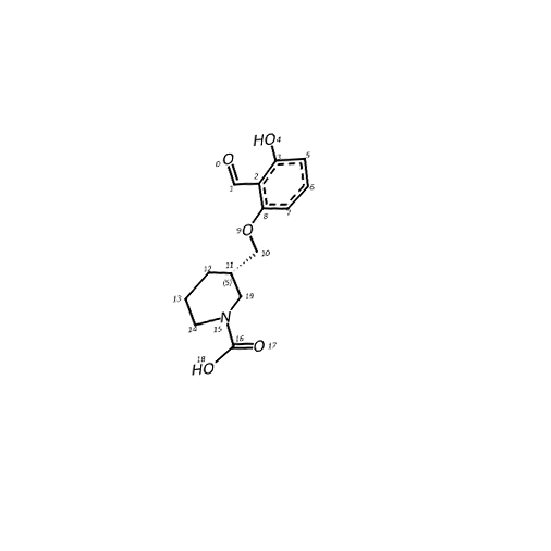 O=Cc1c(O)cccc1OC[C@H]1CCCN(C(=O)O)C1